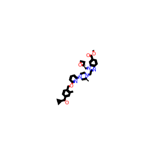 COC(=O)c1ccc2nc(CN3CCN(c4cccc(OCc5ccc(C(=O)C6CC6)cc5C)n4)C[C@@H]3C)n(C[C@@H]3CCO3)c2c1